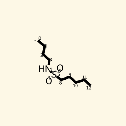 [CH2]CCCNS(=O)(=O)CCCCC